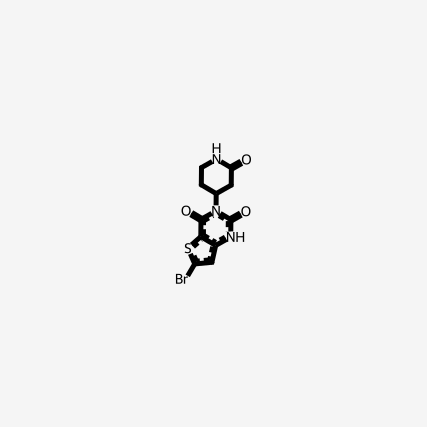 O=C1CC(n2c(=O)[nH]c3cc(Br)sc3c2=O)CCN1